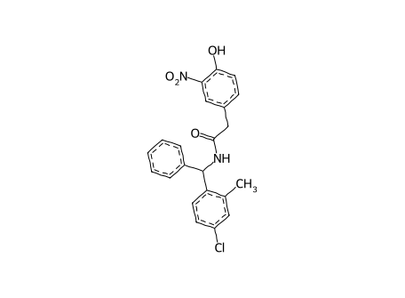 Cc1cc(Cl)ccc1C(NC(=O)Cc1ccc(O)c([N+](=O)[O-])c1)c1ccccc1